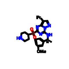 COc1cccc([C@H](C)Nc2nc(S(=O)(=O)C3CCNCC3)nc3c(C(C)C)cnn23)c1